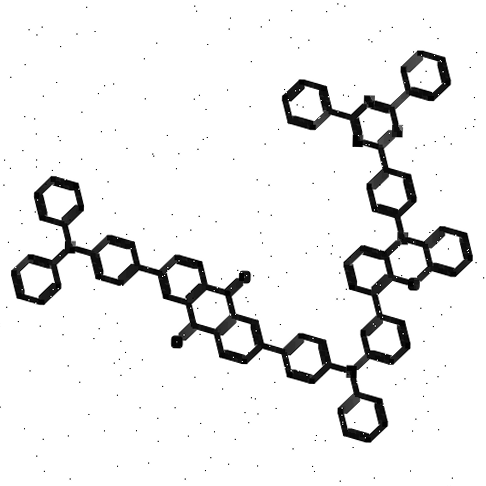 O=C1c2ccc(-c3ccc(N(c4ccccc4)c4cccc(-c5cccc6c5Oc5ccccc5N6c5ccc(-c6nc(-c7ccccc7)nc(-c7ccccc7)n6)cc5)c4)cc3)cc2C(=O)c2ccc(-c3ccc(N(c4ccccc4)c4ccccc4)cc3)cc21